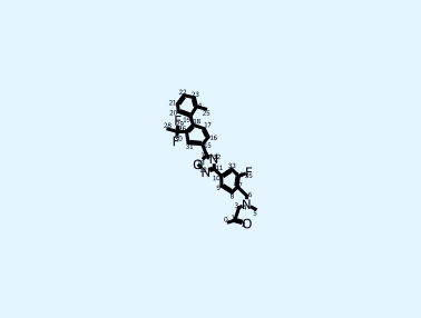 CC(=O)CN(C)Cc1ccc(-c2noc(-c3ccc(-c4ccccc4C)c(C(C)(F)F)c3)n2)cc1F